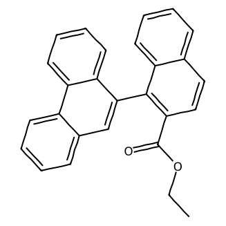 CCOC(=O)c1ccc2ccccc2c1-c1cc2ccccc2c2ccccc12